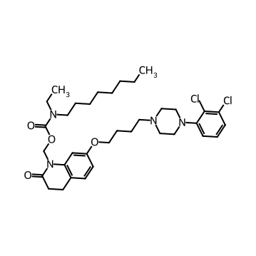 CCCCCCCCN(CC)C(=O)OCN1C(=O)CCc2ccc(OCCCCN3CCN(c4cccc(Cl)c4Cl)CC3)cc21